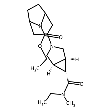 CCOC(=O)N1C2CCC1CC(N1C[C@@H]3[C@H](C1)[C@H]3C(=O)N(C)CC)C2